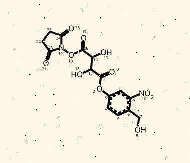 O=C(Oc1ccc(CO)c([N+](=O)[O-])c1)C(O)C(O)C(=O)ON1C(=O)CCC1=O